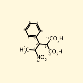 CC(C(c1ccccc1)C(C(=O)O)C(=O)O)[N+](=O)[O-]